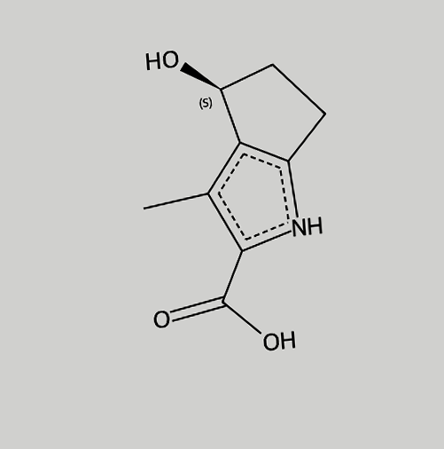 Cc1c(C(=O)O)[nH]c2c1[C@@H](O)CC2